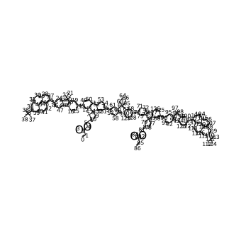 C=CC(=O)OCCCC1(C=C)c2cc(-c3ccc4c(c3)C(C)(C)c3cc(-c5ccc6ccc7cc(C(C)(C)C)cc8ccc5c6c78)ccc3-4)ccc2-c2ccc(-c3ccc4c(c3)C(CC)(CC)c3cc(-c5ccc6c(c5)C(C=C)(CCCOC(=O)C=C)c5cc(-c7ccc8c(c7)C(C)(C)c7cc(-c9ccc%10ccc%11cc(C(C)(C)C)cc%12ccc9c%10c%11%12)ccc7-8)ccc5-6)ccc3-4)cc21